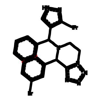 CC(C)c1n[nH]cc1C(c1ccccc1)N1CCn2nnnc2C1c1cccc(Br)c1